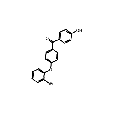 CC(C)c1ccccc1Oc1ccc(C(=O)c2ccc(O)cc2)cc1